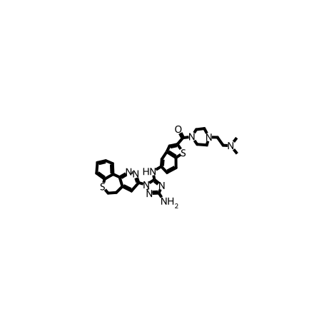 CN(C)CCN1CCN(C(=O)c2cc3cc(Nc4nc(N)nn4-c4cc5c(nn4)-c4ccccc4SCC5)ccc3s2)CC1